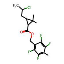 Cc1c(F)c(F)c(COC(=O)C2C(CC(Cl)C(F)(F)F)C2(C)C)c(F)c1F